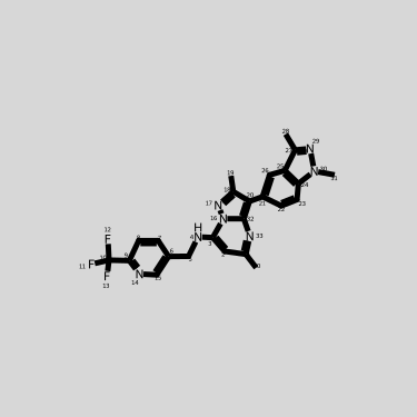 Cc1cc(NCc2ccc(C(F)(F)F)nc2)n2nc(C)c(-c3ccc4c(c3)c(C)nn4C)c2n1